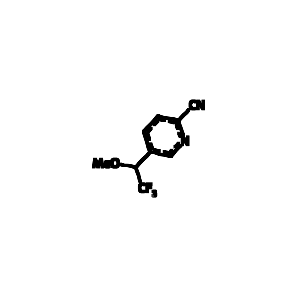 COC(c1ccc(C#N)nc1)C(F)(F)F